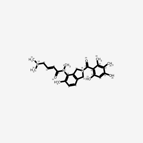 Cc1ccc2c(c1N(C)C(=O)/C=C/CN(C)C)CN(C(=O)c1c(O)cc(O)c(C)c1C)C2